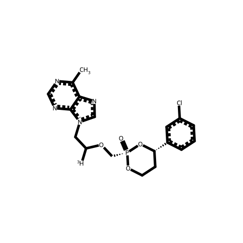 [3H]C(Cn1cnc2c(C)ncnc21)OC[P@@]1(=O)OCC[C@@H](c2cccc(Cl)c2)O1